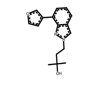 CC(C)(O)CCn1cc2cccc(-c3ccoc3)c2n1